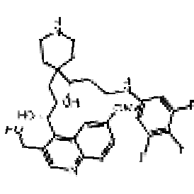 COc1ccc2ncc(CO)c([C@H](O)CCC3([C@@H](O)CCNc4cc(F)c(F)c(F)c4)CCNCC3)c2c1